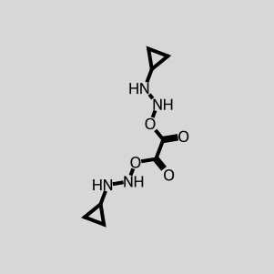 O=C(ONNC1CC1)C(=O)ONNC1CC1